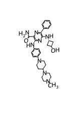 CN1CCN(C2CCN(c3ccc(Nc4nc(N[C@H]5C[C@H](O)C5)c(-c5ccccc5)nc4C(N)=O)cc3)CC2)CC1